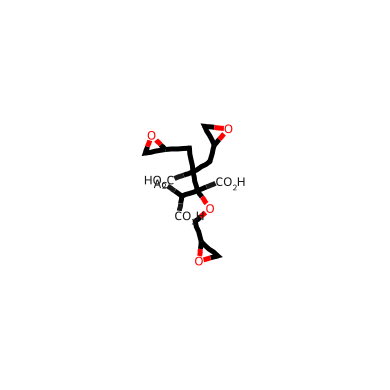 CC(=O)C(C(=O)O)C(OCC1CO1)(C(=O)O)C(CC1CO1)(CC1CO1)C(=O)O